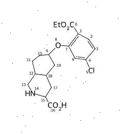 CCOC(=O)c1ccc(Cl)cc1OC1CCC2CNC(C(=O)O)CC2C1